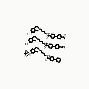 CC(=O)c1ccc(-c2ccc(C(=O)NCCCCN3CCc4ccc(O)cc4C3)cc2)cc1.N#Cc1ccc(-c2ccc(C(=O)NCCCCN3CCc4ccc(O)cc4C3)cc2)cc1.O=C(NCCCCN1CCc2ccc(OS(=O)(=O)C(F)(F)F)cc2C1)c1ccc(-c2ccccc2)cc1